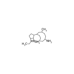 CCC1C2CCC3C4CCC(CC(N)CCC(C)C4)C[PH]1(C)C32